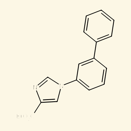 CCOC(=O)c1cn(-c2cccc(-c3ccccc3)c2)cn1